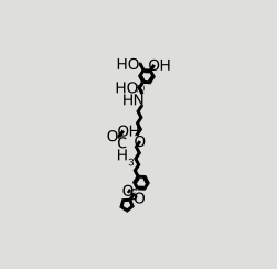 CC(=O)O.O=S(=O)(c1cccc(CCCCCOCCCCCCNC[C@H](O)c2ccc(O)c(CO)c2)c1)C1CCCC1